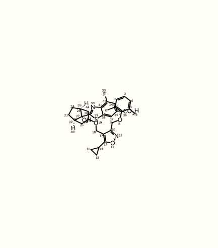 Cc1cccc(C)c1OCc1noc(C2CC2)c1COC1C[C@H]2CC[C@@H](C1)C2(O)c1nc2c(F)cc(C(=O)O)cc2s1